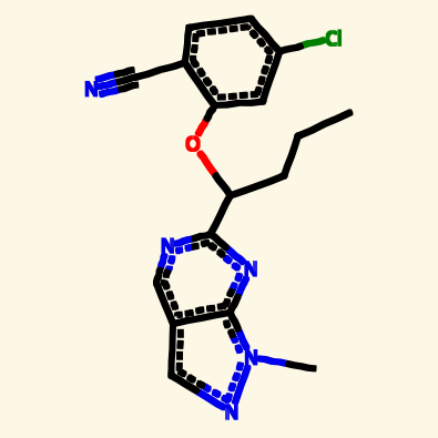 CCCC(Oc1cc(Cl)ccc1C#N)c1ncc2cnn(C)c2n1